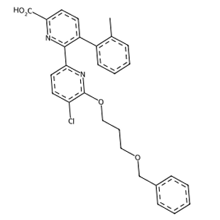 Cc1ccccc1-c1ccc(C(=O)O)nc1-c1ccc(Cl)c(OCCCOCc2ccccc2)n1